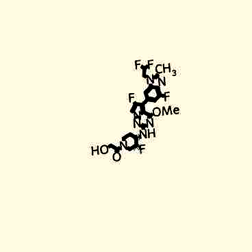 COc1nc(N[C@H]2CCN(C(=O)CO)C[C@H]2F)nn2cc(F)c(-c3cc(F)c4nc(C)n(CC(F)F)c4c3)c12